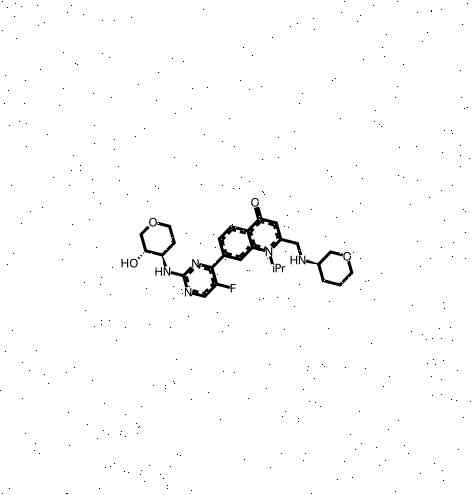 CC(C)n1c(CN[C@@H]2CCCOC2)cc(=O)c2ccc(-c3nc(N[C@@H]4CCOC[C@H]4O)ncc3F)cc21